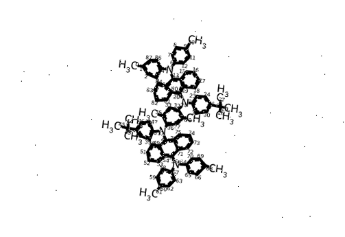 Cc1ccc(N(c2ccc(C)cc2)c2c3ccccc3c(N(c3ccc(C(C)(C)C)cc3)c3cc(C)c(N(c4ccc(C(C)(C)C)cc4)c4c5ccccc5c(N(c5ccc(C)cc5)c5ccc(C)cc5)c5ccccc45)cc3C)c3ccccc23)cc1